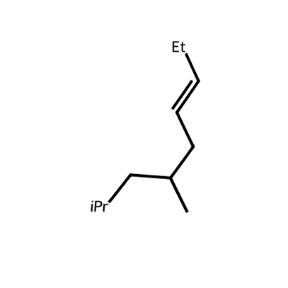 [CH2]CC=CCC(C)CC(C)C